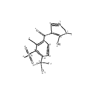 Cc1c(C(=O)c2cnn(C)c2O)ccc(C(F)(F)C(F)(F)F)c1S(C)(=O)=O